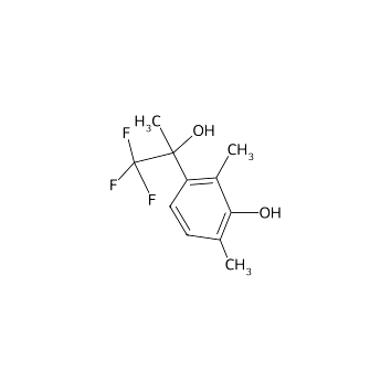 Cc1ccc(C(C)(O)C(F)(F)F)c(C)c1O